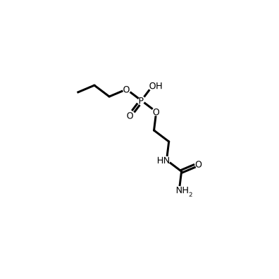 CCCOP(=O)(O)OCCNC(N)=O